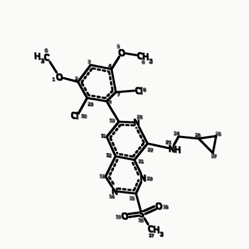 COc1cc(OC)c(Cl)c(-c2cc3cnc(S(C)(=O)=O)nc3c(NCC3CC3)n2)c1Cl